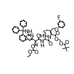 CCOC(=O)ON=C(C(=O)NC1C(=O)N2C(C(=O)OCOC(=O)C(C)(C)C)=C(COc3cccc(F)c3)CS[C@@H]12)c1csc(NC(c2ccccc2)(c2ccccc2)c2ccccc2)n1